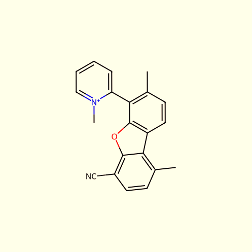 Cc1ccc2c(oc3c(C#N)ccc(C)c32)c1-c1cccc[n+]1C